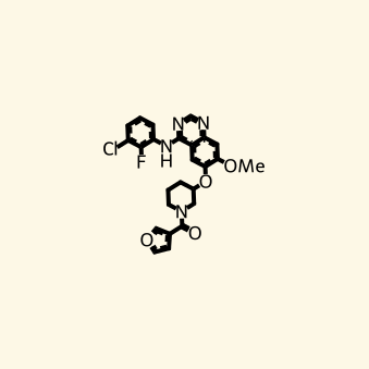 COc1cc2ncnc(Nc3cccc(Cl)c3F)c2cc1OC1CCCN(C(=O)c2ccoc2)C1